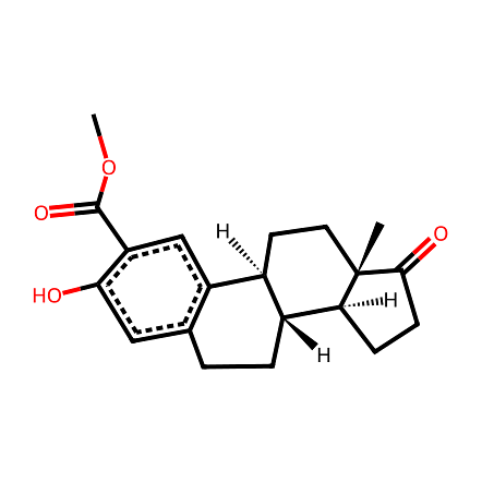 COC(=O)c1cc2c(cc1O)CC[C@@H]1[C@@H]2CC[C@]2(C)C(=O)CC[C@@H]12